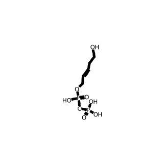 O=P(O)(O)OP(=O)(O)OCC=CCCO